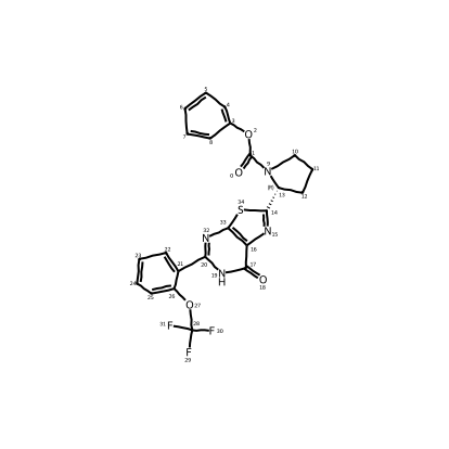 O=C(Oc1ccccc1)N1CCC[C@@H]1c1nc2c(=O)[nH]c(-c3ccccc3OC(F)(F)F)nc2s1